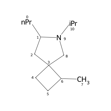 CCCC1CC2(CCC2C)CN1C(C)C